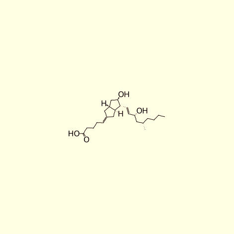 CCCC[C@H](C)C[C@@H](O)C=C[C@@H]1[C@H]2CC(=CCCCC(=O)O)C[C@@H]2C[C@H]1O